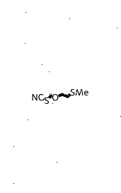 CSCCO[C]SC#N